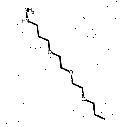 CCCOCCOCCOCCCNN